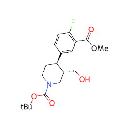 COC(=O)c1cc([C@@H]2CCN(C(=O)OC(C)(C)C)C[C@H]2CO)ccc1F